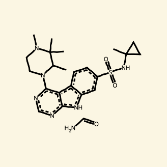 CC1N(c2ncnc3[nH]c4cc(S(=O)(=O)NC5(C)CC5)ccc4c23)CCN(C)C1(C)C.NC=O